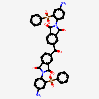 Nc1ccc(N2C(=O)c3ccc(C(=O)c4ccc5c(c4)C(=O)N(c4ccc(N)cc4S(=O)(=O)c4ccccc4)C5=O)cc3C2=O)c(S(=O)(=O)c2ccccc2)c1